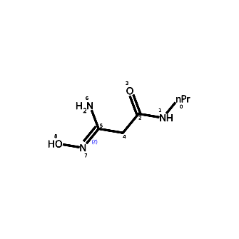 CCCNC(=O)C/C(N)=N/O